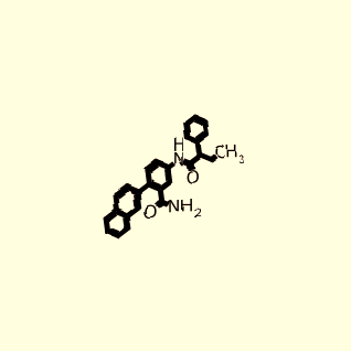 CCC(C(=O)Nc1ccc(-c2ccc3ccccc3c2)c(C(N)=O)c1)c1ccccc1